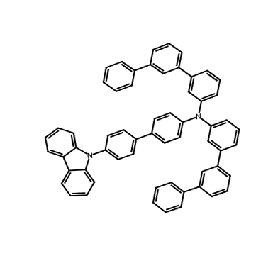 c1ccc(-c2cccc(-c3cccc(N(c4ccc(-c5ccc(-n6c7ccccc7c7ccccc76)cc5)cc4)c4cccc(-c5cccc(-c6ccccc6)c5)c4)c3)c2)cc1